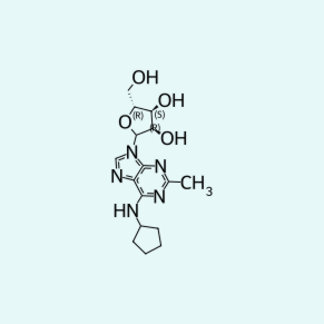 Cc1nc(NC2CCCC2)c2ncn(C3O[C@H](CO)[C@@H](O)[C@H]3O)c2n1